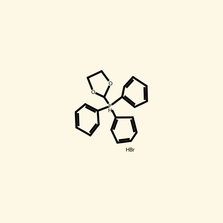 Br.c1ccc([PH](c2ccccc2)(c2ccccc2)C2OCCO2)cc1